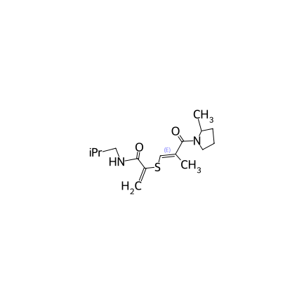 C=C(S/C=C(\C)C(=O)N1CCCC1C)C(=O)NCC(C)C